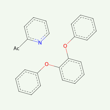 CC(=O)c1ccccn1.c1ccc(Oc2ccccc2Oc2ccccc2)cc1